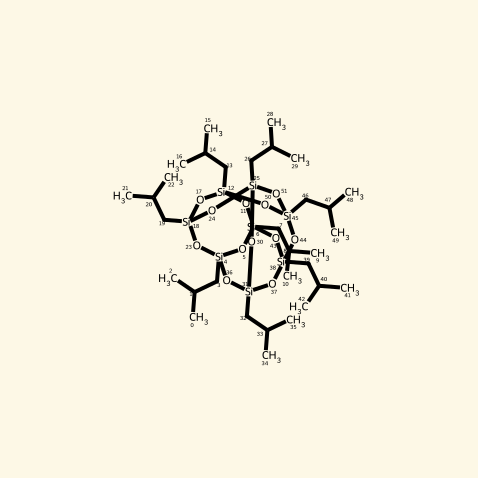 CC(C)C[Si]12O[Si]3(CC(C)C)O[Si]4(CC(C)C)O[Si](CC(C)C)(O1)O[Si]1(CC(C)C)O[Si](CC(C)C)(O2)O[Si](CC(C)C)(O3)O[Si](CC(C)C)(O4)O1